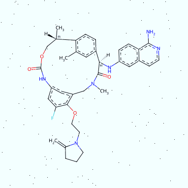 C=C1CCCN1CCOc1c(F)cc2cc1CN(C)C(=O)[C@H](Nc1ccc3c(N)nccc3c1)c1ccc(c(C)c1)[C@@H](C)COC(=O)N2